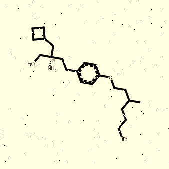 CC(C)CCCC(C)CCOc1ccc(CC[C@@](N)(CO)CC2CCC2)cc1